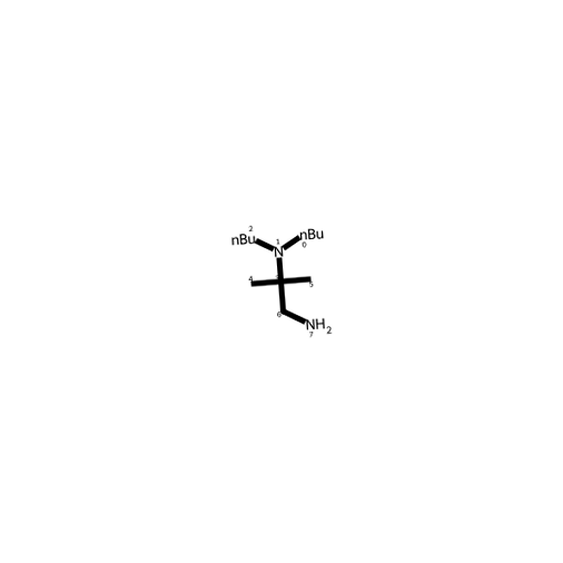 CCCCN(CCCC)C(C)(C)CN